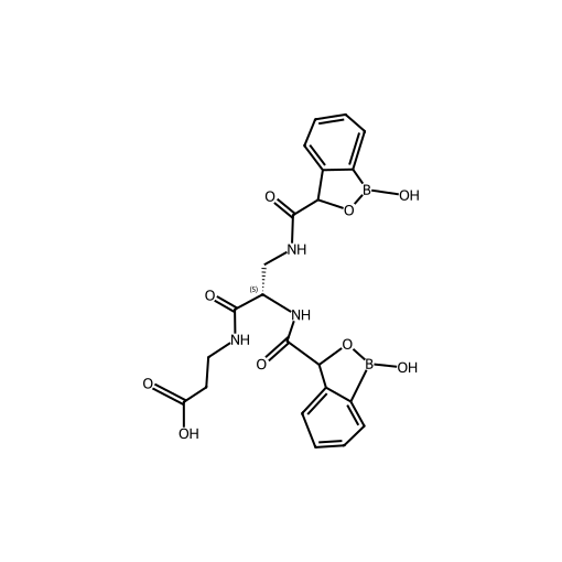 O=C(O)CCNC(=O)[C@H](CNC(=O)C1OB(O)c2ccccc21)NC(=O)C1OB(O)c2ccccc21